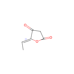 C/C=C1\OC(=O)CC1=O